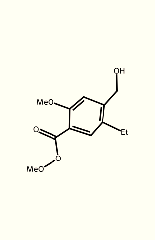 CCc1cc(C(=O)OOC)c(OC)cc1CO